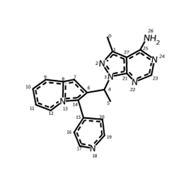 Cc1nn(C(C)c2cc3ccccn3c2-c2ccncc2)c2ncnc(N)c12